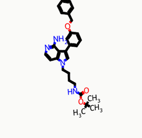 CC(C)(C)OC(=O)NCCCCn1cc(-c2cccc(OCc3ccccc3)c2)c2c(N)nccc21